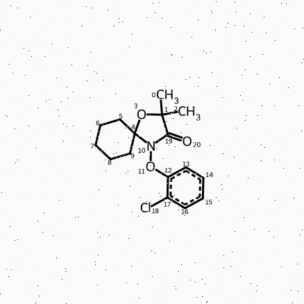 CC1(C)OC2(CCCCC2)N(Oc2ccccc2Cl)C1=O